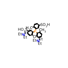 CCN(CC)CC.CCN(CC)CC.Cc1ccccc1P(c1cc(S(=O)(=O)O)ccc1C)c1cc(S(=O)(=O)O)ccc1C